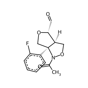 CC(=O)N1OC[C@@H]2[C@@H](C=O)OC[C@@]21c1ccccc1F